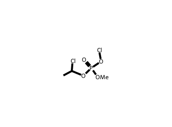 COP(=O)(OCl)OC(C)Cl